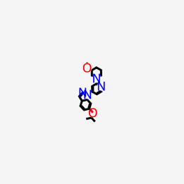 COC1CCCN(c2cc(N3N=CC4C=CC(OC(C)C)=CC43)ccn2)C1